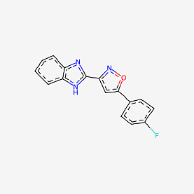 Fc1ccc(-c2cc(-c3nc4ccccc4[nH]3)no2)cc1